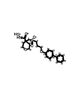 O=C(NO)C1(CS(=O)(=O)CCCOc2ccc(-c3ccccc3)cc2)CCOCC1